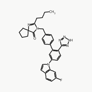 CCCCC1=NC2(CCCC2)C(=O)N1Cc1ccc(-c2cc(-n3ccc4ccc(F)cc43)ccc2-c2nn[nH]n2)cc1